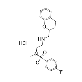 CN(CCNCC1CCc2ccccc2O1)S(=O)(=O)c1ccc(F)cc1.Cl